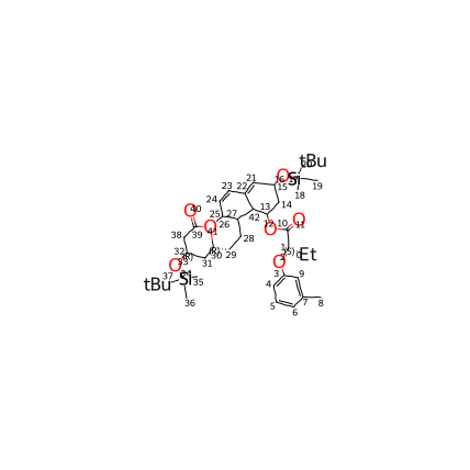 CC[C@H](Oc1cccc(C)c1)C(=O)OC1CC(O[Si](C)(C)C(C)(C)C)C=C2C=CC(C)C(CC[C@@H]3C[C@@H](O[Si](C)(C)C(C)(C)C)CC(=O)O3)C21